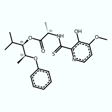 COc1ccnc(C(=S)N[C@@H](C)C(=O)O[C@H](C(C)C)[C@H](C)Oc2ccccc2)c1O